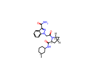 C[C@H]1CCCC(NC(=O)[C@@H]2C[C@H]3C[C@H]3N2C(=O)Cn2nc(C(N)=O)c3ccccc32)C1